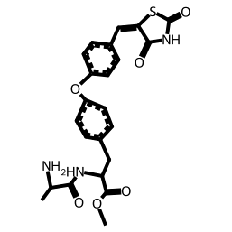 COC(=O)C(Cc1ccc(Oc2ccc(C=C3SC(=O)NC3=O)cc2)cc1)NC(=O)C(C)N